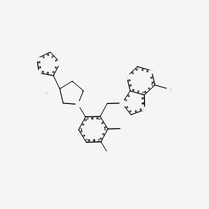 Nc1ncnc2c1ncn2Cc1c(N2CC[C@](N)(c3nc[nH]n3)C2)ccc(Cl)c1Cl